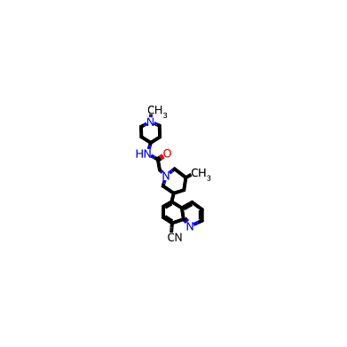 CC1CC(c2ccc(C#N)c3ncccc23)CN(CC(=O)NC2CCN(C)CC2)C1